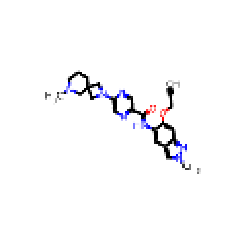 C#CCOc1cc2nn(C)cc2cc1NC(=O)c1cnc(N2CC3(CCCN(C)C3)C2)cn1